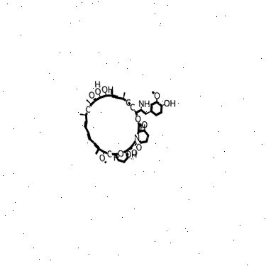 CO[C@H]1C[C@@H]2CC[C@@H](C)[C@@](O)(O2)C(=O)C(=O)N2CCCC[C@H]2C(=O)O[C@H]([C@H](N)C[C@@H]2CC[C@@H](O)[C@H](OC)C2)CC[C@H](C)/C=C(\C)[C@@H](O)[C@@H](O)C(=O)[C@H](C)C[C@H](C)/C=C/C=C/C=C/1C